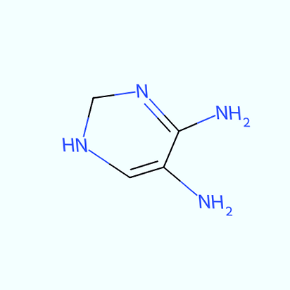 NC1=CNCN=C1N